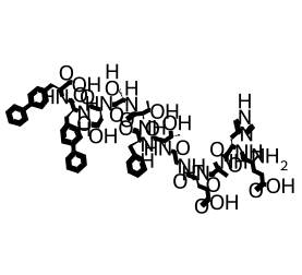 C[C@@H](O)[C@H](NC(=O)CNC(=O)[C@H](CCC(=O)O)NC(=O)C(C)(C)NC(=O)[C@H](Cc1c[nH]cn1)NC(=O)[C@@H](N)CCC(=O)O)C(=O)N[C@@H](Cc1ccccc1)C(=O)N[C@H](C(=O)N[C@@H](CO)C(=O)N[C@@H](CC(=O)O)C(=O)N[C@@H](Cc1ccc(-c2ccccc2)cc1)C(=O)N[C@@H](Cc1ccc(-c2ccccc2)cc1)C(=O)O)[C@@H](C)O